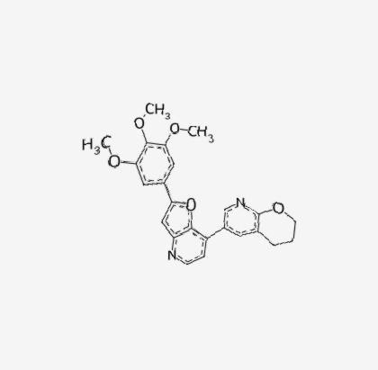 COc1cc(-c2cc3nccc(-c4cnc5c(c4)CCCO5)c3o2)cc(OC)c1OC